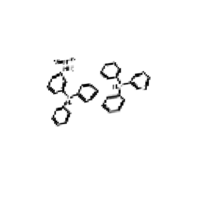 [N-]=[N+]=[N-].[NH4+].c1ccc([PH2](c2ccccc2)c2ccccc2)cc1.c1ccc([PH2](c2ccccc2)c2ccccc2)cc1